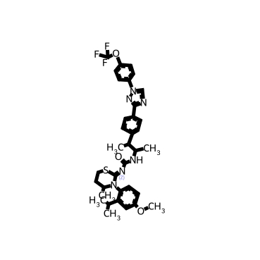 COc1ccc(N2/C(=N/C(=O)NC(C)C(C)c3ccc(-c4ncn(-c5ccc(OC(F)(F)F)cc5)n4)cc3)SCCC2C)c(C(C)C)c1